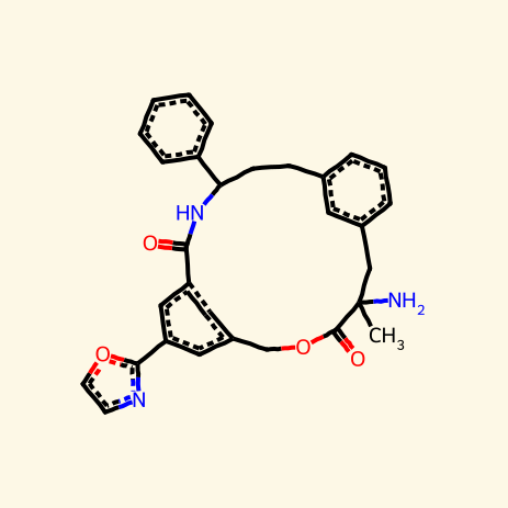 CC1(N)Cc2cccc(c2)CCC(c2ccccc2)NC(=O)c2cc(cc(-c3ncco3)c2)COC1=O